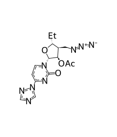 CC[C@H]1O[C@@H](n2ccc(-n3cncn3)nc2=O)[C@H](OC(C)=O)[C@@H]1CN=[N+]=[N-]